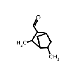 CC1CC2CC1C(C)C2C=O